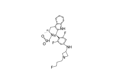 C[C@@H]1Cc2c([nH]c3ccccc23)[C@@H](c2c(F)cc(NC3CN(CCCF)C3)cc2F)N1C[SH](=O)=O